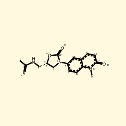 CC(=S)NC[C@H]1CN(c2ccc3c(ccc(=O)n3C)c2)C(=O)O1